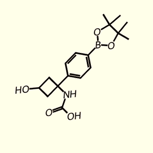 CC1(C)OB(c2ccc(C3(NC(=O)O)CC(O)C3)cc2)OC1(C)C